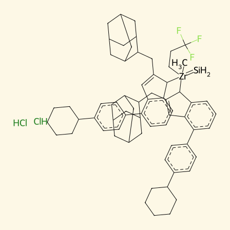 Cl.Cl.[CH3][Zr](=[SiH2])([CH2]CC(F)(F)F)([CH]1C(CC2C3CC4CC(C3)CC2C4)=Cc2c(-c3ccc(C4CCCCC4)cc3)cccc21)[CH]1C(CC2C3CC4CC(C3)CC2C4)=Cc2c(-c3ccc(C4CCCCC4)cc3)cccc21